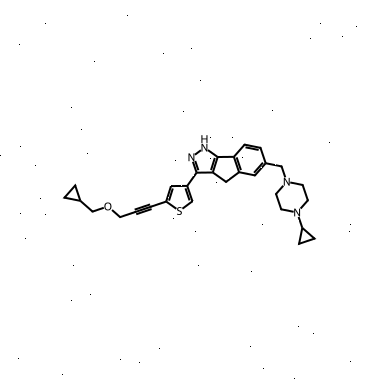 C(#Cc1cc(-c2n[nH]c3c2Cc2cc(CN4CCN(C5CC5)CC4)ccc2-3)cs1)COCC1CC1